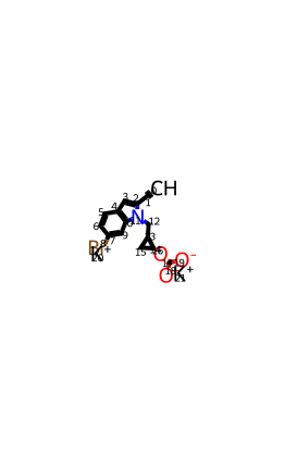 C#Cc1cc2ccc(Br)cc2n1CC1CC1.O=C([O-])[O-].[K+].[K+]